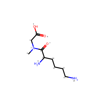 CN(CC(=O)O)C(=O)C(N)CCCCN